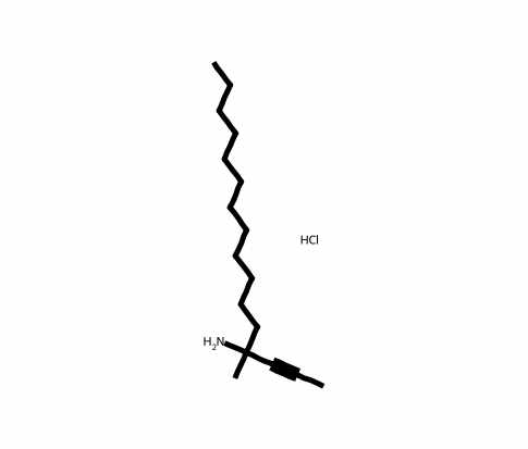 CC#CC(C)(N)CCCCCCCCCCCC.Cl